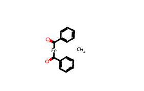 C.O=[C]([Fe][C](=O)c1ccccc1)c1ccccc1